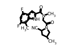 Cc1c(F)cc(F)c2cc(C(=O)N(C)CC(=O)N3CC(C)CC3C#N)[nH]c12